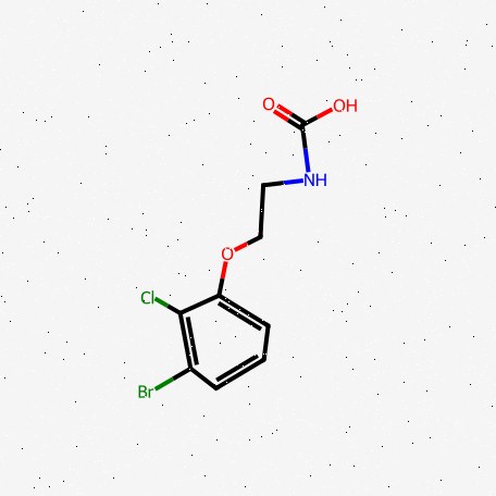 O=C(O)NCCOc1cccc(Br)c1Cl